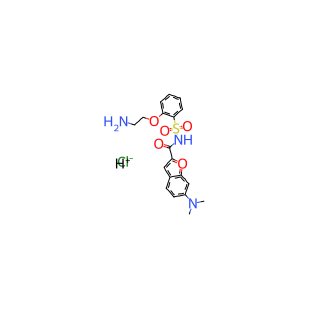 CN(C)c1ccc2cc(C(=O)NS(=O)(=O)c3ccccc3OCCN)oc2c1.[Cl-].[H+]